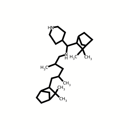 CC(CNC(C1CCNCC1)C1C2CCC(C2)C1(C)C)CC(C)CC1C2CCC(C2)C1(C)C